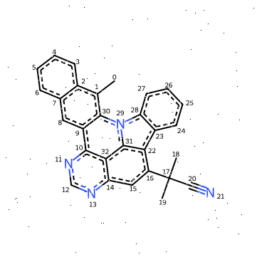 Cc1c2ccccc2cc2c3ncnc4cc(C(C)(C)C#N)c5c6ccccc6n(c12)c5c43